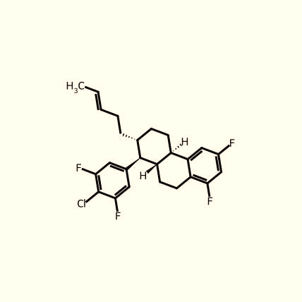 C/C=C/CC[C@@H]1CC[C@H]2c3cc(F)cc(F)c3CC[C@@H]2[C@H]1c1cc(F)c(Cl)c(F)c1